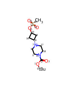 CC(C)(C)OC(=O)N1CCN([C@H]2C[C@H](OS(C)(=O)=O)C2)CC1